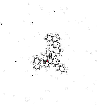 Cc1ccc(-c2cccc3cccc(-c4ccc(N(c5ccc(-c6ccccc6)cc5)c5ccc(-c6cccc7ccccc67)c6ccccc56)cc4)c23)cc1